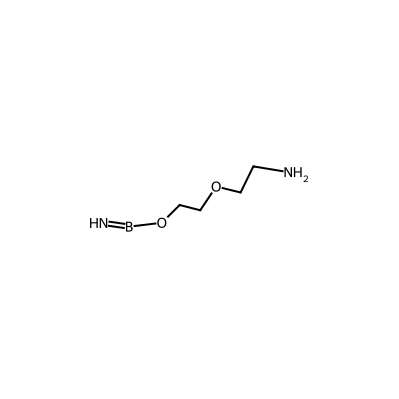 N=BOCCOCCN